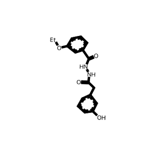 CCOc1cccc(C(=O)NNC(=O)Cc2cccc(O)c2)c1